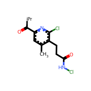 Cc1cc(C(=O)C(C)C)nc(Cl)c1CCC(=O)NCl